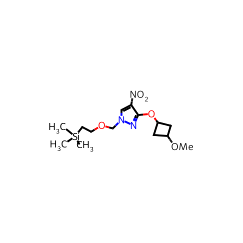 COC1CC(Oc2nn(COCC[Si](C)(C)C)cc2[N+](=O)[O-])C1